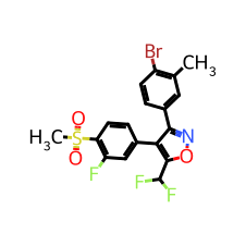 Cc1cc(-c2noc(C(F)F)c2-c2ccc(S(C)(=O)=O)c(F)c2)ccc1Br